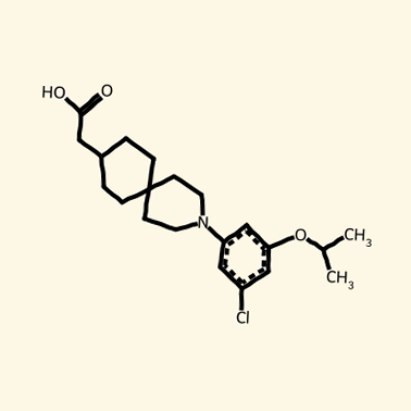 CC(C)Oc1cc(Cl)cc(N2CCC3(CCC(CC(=O)O)CC3)CC2)c1